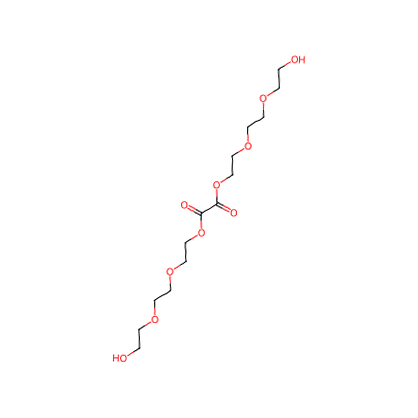 O=C(OCCOCCOCCO)C(=O)OCCOCCOCCO